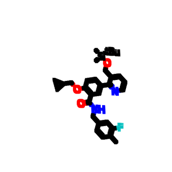 Cc1ccc(CNC(=O)c2cc(-c3ncccc3CO[Si](C)(C)C(C)(C)C)ccc2OCC2CC2)cc1F